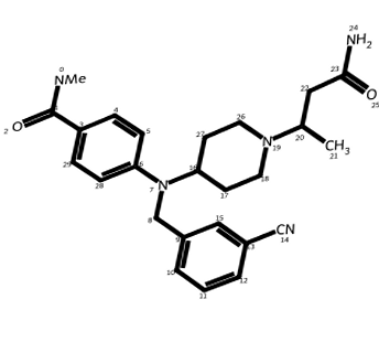 CNC(=O)c1ccc(N(Cc2cccc(C#N)c2)C2CCN(C(C)CC(N)=O)CC2)cc1